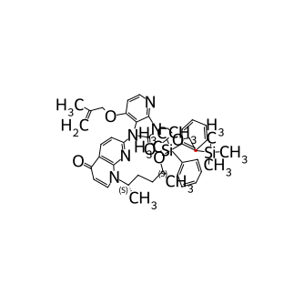 C=C(C)COc1ccnc2c1n(-c1ccc3c(=O)ccn([C@@H](C)CC[C@H](C)O[Si](c4ccccc4)(c4ccccc4)C(C)(C)C)c3n1)c(=O)n2COCC[Si](C)(C)C